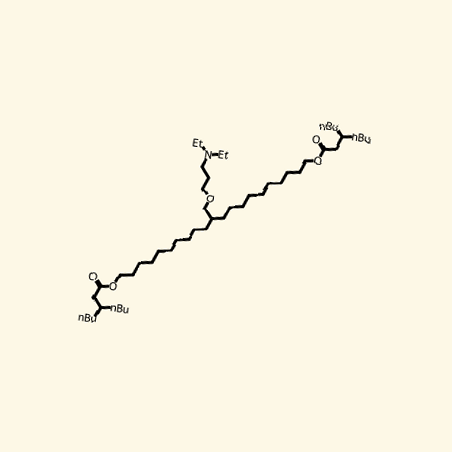 CCCCC(CCCC)CC(=O)OCCCCCCCCCCC(CCCCCCCCCCOC(=O)CC(CCCC)CCCC)COCCCN(CC)CC